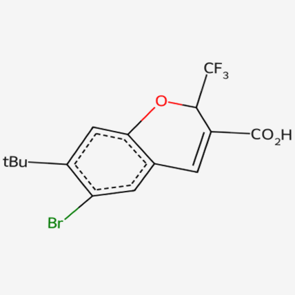 CC(C)(C)c1cc2c(cc1Br)C=C(C(=O)O)C(C(F)(F)F)O2